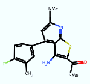 CNC(=O)c1sc2nc(NC)cc(-c3ccc(F)c(C)c3)c2c1N